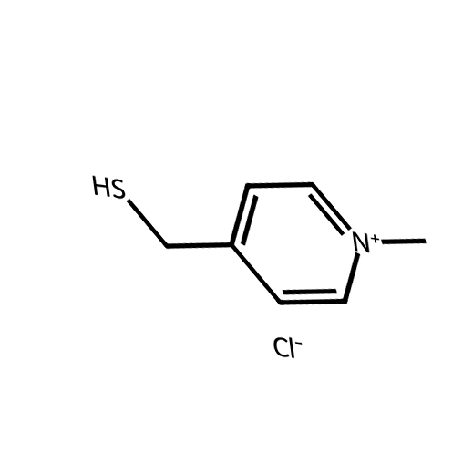 C[n+]1ccc(CS)cc1.[Cl-]